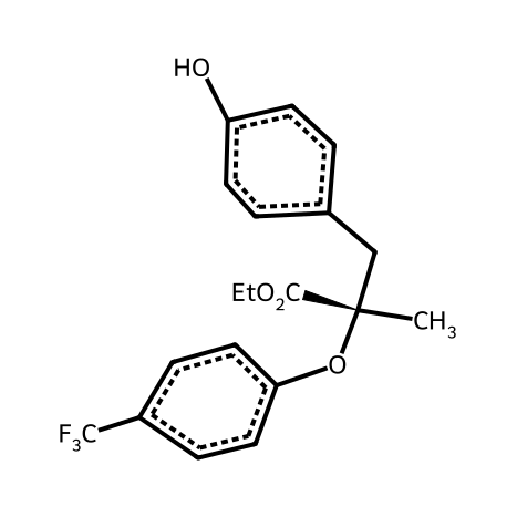 CCOC(=O)[C@](C)(Cc1ccc(O)cc1)Oc1ccc(C(F)(F)F)cc1